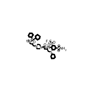 CC(C)(C)[Si](OC(CF)CN1CCN(C(=O)CC(CSc2ccccc2)Nc2ccc(S(N)(=O)=O)cc2S(=O)(=O)C(F)(F)F)CC1)(c1ccccc1)c1ccccc1